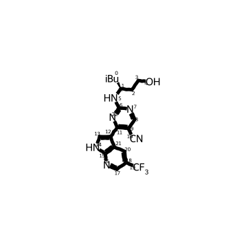 CCC(C)[C@@H](CCO)Nc1ncc(C#N)c(-c2c[nH]c3ncc(C(F)(F)F)cc23)n1